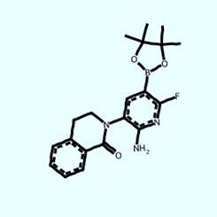 CC1(C)OB(c2cc(N3CCc4ccccc4C3=O)c(N)nc2F)OC1(C)C